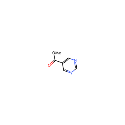 COC(=O)c1cncnc1